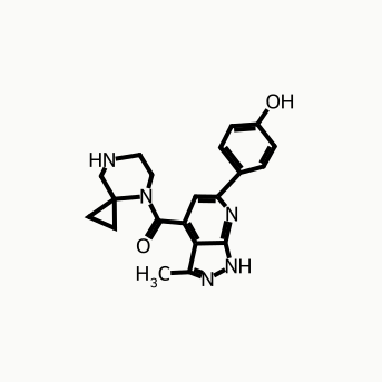 Cc1n[nH]c2nc(-c3ccc(O)cc3)cc(C(=O)N3CCNCC34CC4)c12